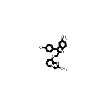 Cc1ccc2oc(COc3cccn4cc(C)nc34)c(-c3ccc(Cl)cc3)c2c1